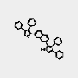 c1ccc(-c2c[nH]c(-c3ccc4ccc(-c5scc(-c6ccccc6)c5-c5ccccc5)cc4c3)c2-c2ccccc2)cc1